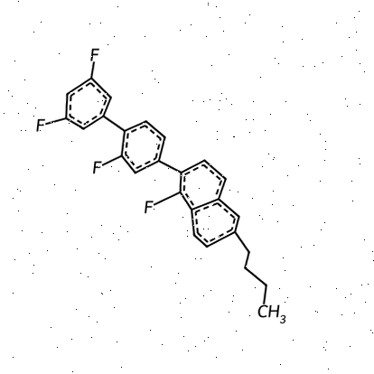 CCCCc1ccc2c(F)c(-c3ccc(-c4cc(F)cc(F)c4)c(F)c3)ccc2c1